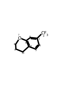 FC(F)(F)c1ccc2c(c1)OCCC2